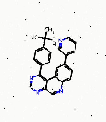 CC(C)(C#N)c1ccc(-c2ncnc3cnc4ccc(-c5cccnc5)cc4c23)cc1